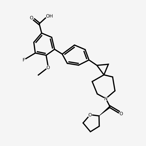 COc1c(F)cc(C(=O)O)cc1-c1ccc(C2CC23CCN(C(=O)[C@H]2CCCO2)CC3)cc1